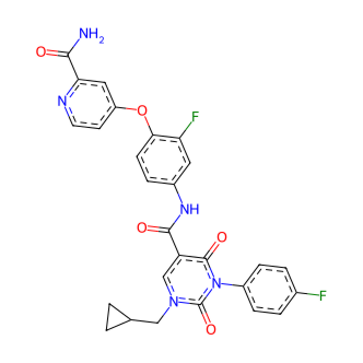 NC(=O)c1cc(Oc2ccc(NC(=O)c3cn(CC4CC4)c(=O)n(-c4ccc(F)cc4)c3=O)cc2F)ccn1